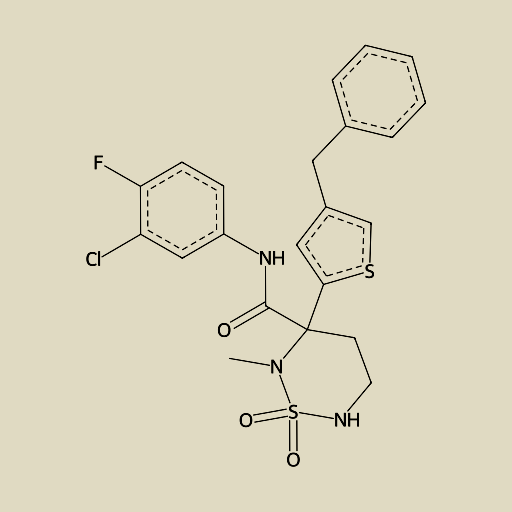 CN1C(C(=O)Nc2ccc(F)c(Cl)c2)(c2cc(Cc3ccccc3)cs2)CCNS1(=O)=O